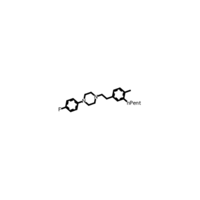 CCCCCc1cc(CCN2CCN(c3ccc(F)cc3)CC2)ccc1C